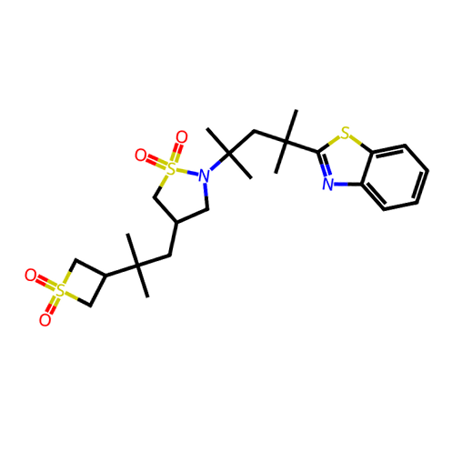 CC(C)(CC(C)(C)N1CC(CC(C)(C)C2CS(=O)(=O)C2)CS1(=O)=O)c1nc2ccccc2s1